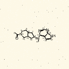 CC(=O)N1CCC2CC(N(C)c3ncnc4[nH]ccc34)CC2C1